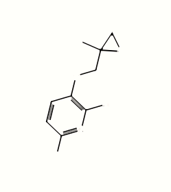 CC1(COc2ccc(Br)nc2Br)CO1